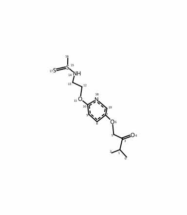 CC(C)C(=O)COc1ccc(OCCNS(C)=S)nc1